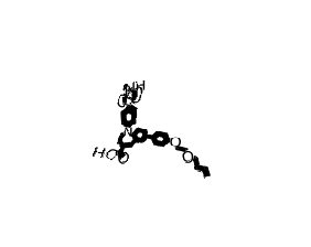 CCCCOCCOc1ccc(-c2ccc3c(c2)C=C(C(=O)O)CCN3c2ccc(S(=O)(=O)NC)cc2)cc1